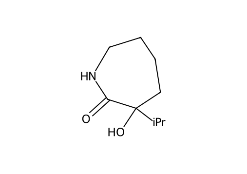 CC(C)C1(O)CCCCNC1=O